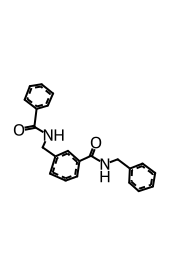 O=C(NCc1cccc(C(=O)NCc2ccccc2)c1)c1ccccc1